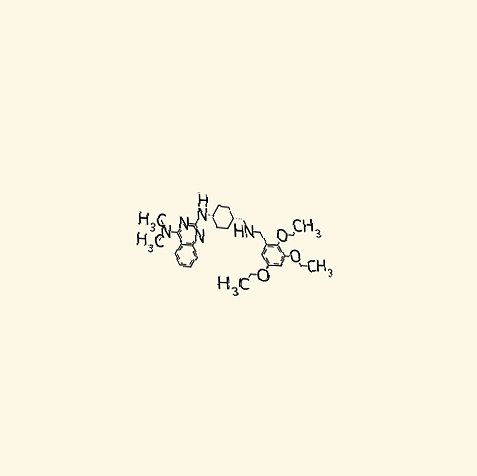 CCOc1cc(CNC[C@H]2CC[C@@H](Nc3nc(N(C)C)c4ccccc4n3)CC2)c(OCC)c(OCC)c1